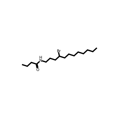 CCCCCCCCC(Br)CCCNC(=O)CCC